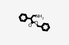 NCC(C(=O)OCc1ccccc1)c1ccccc1